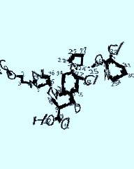 COCCn1cc(-n2cc(C(=O)O)c(=O)c3cc(Cl)c(N4CCC[C@@H]4COc4ncccc4Cl)cc32)cn1